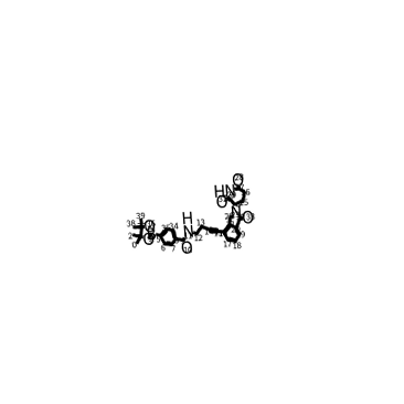 CC1(C)OB(c2ccc(C(=O)NCCC#Cc3cccc4c3CN(C3CCC(=O)NC3=O)C4=O)cc2)OC1(C)C